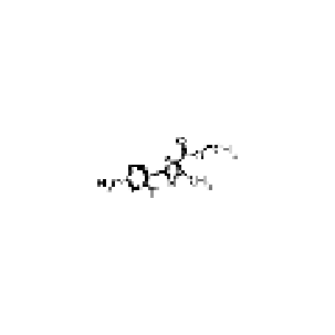 CCOC(=O)c1sc(-c2ccc(C)cc2F)nc1C